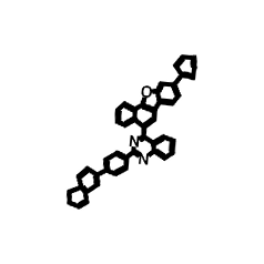 C1=Cc2cc(-c3ccc(-c4nc(-c5cc6c7ccc(-c8ccccc8)cc7oc6c6ccccc56)c5ccccc5n4)cc3)ccc2CC1